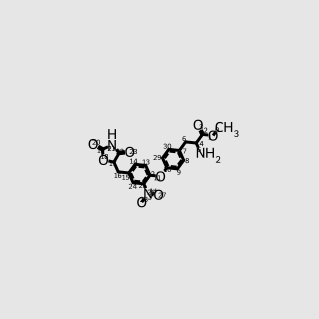 COC(=O)C(N)Cc1ccc(Oc2ccc(CC3OC(=O)NC3=O)cc2[N+](=O)[O-])cc1